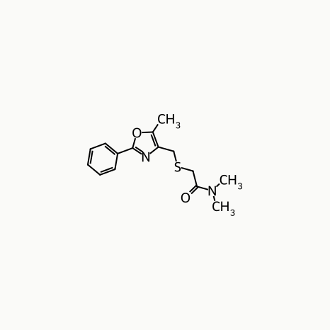 Cc1oc(-c2ccccc2)nc1CSCC(=O)N(C)C